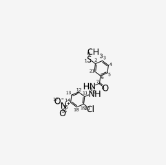 CSc1cccc(C(=O)NNc2ccc([N+](=O)[O-])cc2Cl)c1